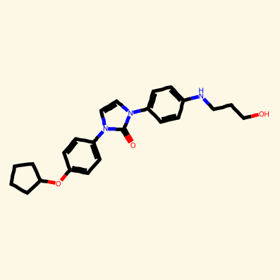 O=c1n(-c2ccc(NCCCO)cc2)ccn1-c1ccc(OC2CCCC2)cc1